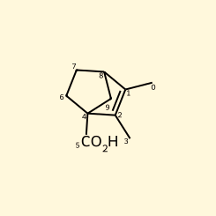 CC1=C(C)C2(C(=O)O)CCC1C2